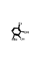 CCCCc1ccc(CC)c(O)c1O